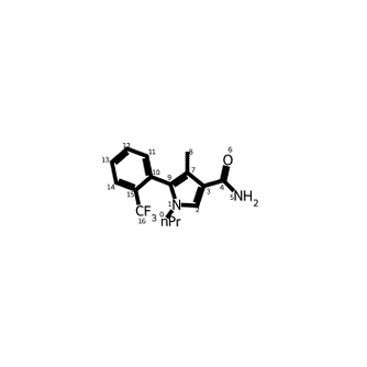 CCCn1cc(C(N)=O)c(C)c1-c1ccccc1C(F)(F)F